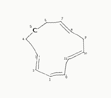 [C]1=C\C=C\CCC/C=C/C/C=C/1